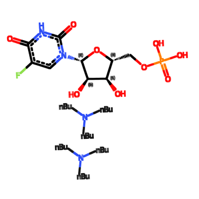 CCCCN(CCCC)CCCC.CCCCN(CCCC)CCCC.O=c1[nH]c(=O)n([C@@H]2O[C@H](COP(=O)(O)O)[C@@H](O)[C@H]2O)cc1F